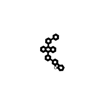 c1ccc(-c2cccc(-c3c4ccccc4c(-c4cccc(-c5ccc6c(c5)oc5ccccc56)c4)c4ccccc34)c2)cc1